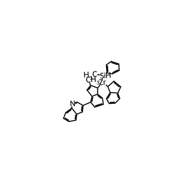 CC1=Cc2c(-c3cnc4ccccc4c3)cccc2[CH]1[Zr]([CH]1C=Cc2ccccc21)[SiH](C)c1ccccc1